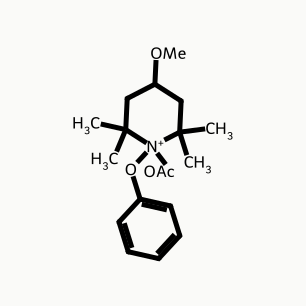 COC1CC(C)(C)[N+](OC(C)=O)(Oc2ccccc2)C(C)(C)C1